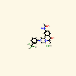 CC(=O)Nc1ccc(C(=O)C(C)N2CCN(c3cccc(C(F)(F)F)c3)CC2)cc1.Cl